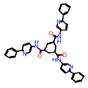 O=C(Nc1ccc(-c2ccccc2)nc1)C1CC(C(=O)Nc2ccc(-c3ccccc3)nc2)CC(C(=O)Nc2ccc(-c3ccccc3)nc2)C1